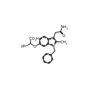 CCCC(Oc1ccc2c(CC(N)=O)c(C)n(Cc3ccccc3)c2c1)C(=O)O